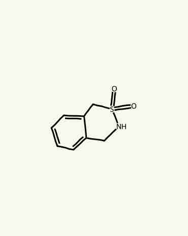 O=S1(=O)Cc2ccccc2CN1